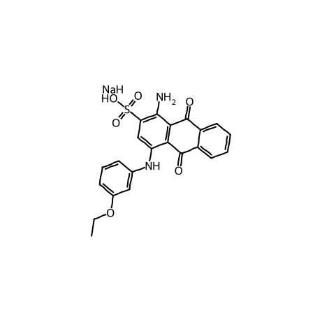 CCOc1cccc(Nc2cc(S(=O)(=O)O)c(N)c3c2C(=O)c2ccccc2C3=O)c1.[NaH]